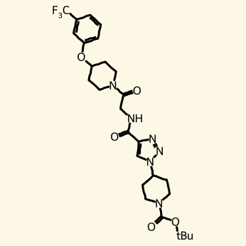 CC(C)(C)OC(=O)N1CCC(n2cc(C(=O)NCC(=O)N3CCC(Oc4cccc(C(F)(F)F)c4)CC3)nn2)CC1